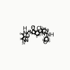 CC(NC(=O)CN1Cc2ccc(-c3nc(NC4CCOCC4)ncc3Cl)cc2C1=O)c1cnn(C)c1